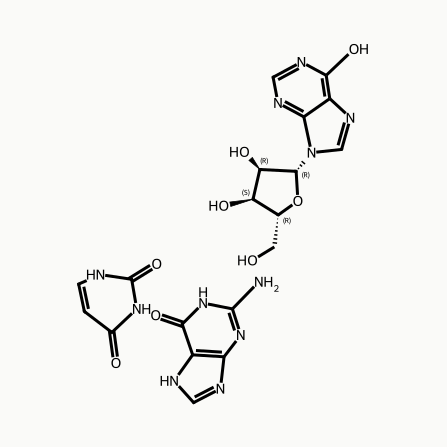 Nc1nc2nc[nH]c2c(=O)[nH]1.O=c1cc[nH]c(=O)[nH]1.OC[C@H]1O[C@@H](n2cnc3c(O)ncnc32)[C@H](O)[C@@H]1O